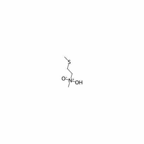 CSCC[N+](C)([O-])O